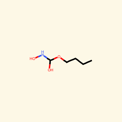 CCCCOC(O)NO